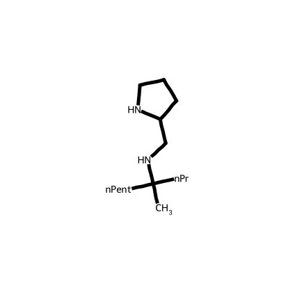 CCCCCC(C)(CCC)NCC1CCCN1